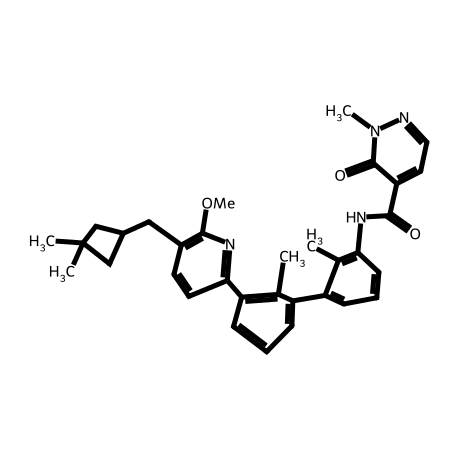 COc1nc(-c2cccc(-c3cccc(NC(=O)c4ccnn(C)c4=O)c3C)c2C)ccc1CC1CC(C)(C)C1